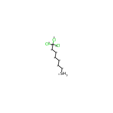 [SiH3]CCCCCCC(Cl)(Cl)Cl